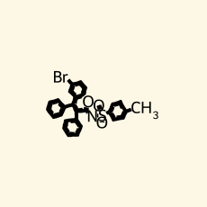 Cc1ccc(S(=O)(=O)N=c2oc3ccc(Br)cc3c(-c3ccccc3)c2-c2ccccc2)cc1